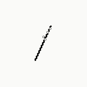 CCCCCCCCCCCCCCCCOC(=O)CCCOCCOCC